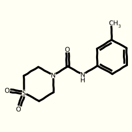 Cc1cccc(NC(=O)N2CCS(=O)(=O)CC2)c1